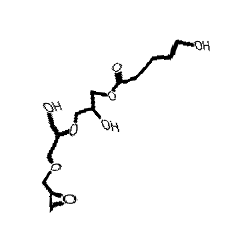 O=C(CCCCO)OCC(O)COC(CO)COCC1CO1